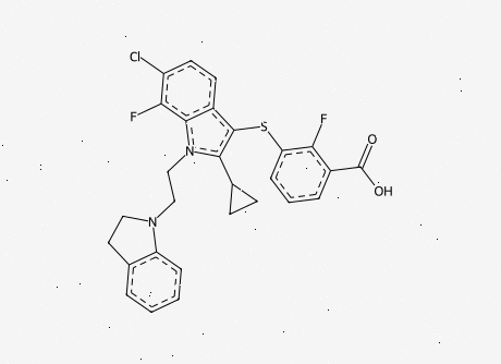 O=C(O)c1cccc(Sc2c(C3CC3)n(CCN3CCc4ccccc43)c3c(F)c(Cl)ccc23)c1F